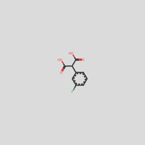 O=C(O)C(C(=O)O)c1cccc(F)c1